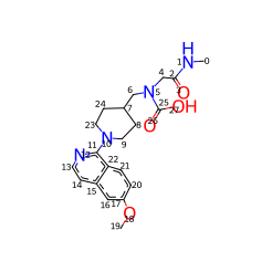 CNC(=O)CN(CC1CCN(c2nccc3cc(OC)ccc23)CC1)C(=O)O